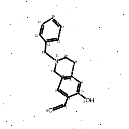 O=Cc1cc2c(cc1O)CCN(Cc1ccccc1)C2